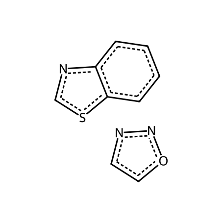 c1ccc2scnc2c1.c1conn1